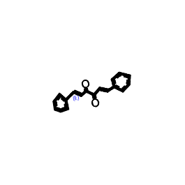 O=C(C=Cc1ccccc1)C(=O)/C=C/c1ccccc1